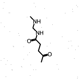 CNCNC(=O)CCC(C)=O